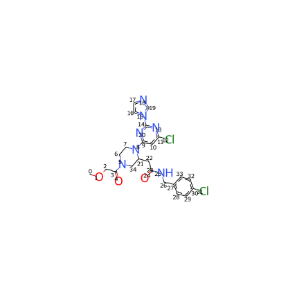 COCC(=O)N1CCN(c2cc(Cl)nc(-n3ccnc3)n2)C(CC(=O)NCc2ccc(Cl)cc2)C1